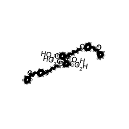 O=C(C=Cc1ccc(OCCCCCCOc2ccc(C(=O)O)c(C(=O)O)c2-c2c(OCCCCCCOc3ccc(C=CC(=O)c4ccccc4)cc3)ccc(C(=O)O)c2C(=O)O)cc1)c1ccccc1